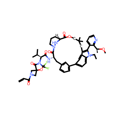 C=CC(=O)N1CC2(C1)OC(F)(F)N([C@H](C(=O)N[C@H]1Cc3cccc(c3)-c3ccc4c(c3)c(c(-c3cccnc3[C@H](C)OC)n4CC)CC(C)(C)COC(=O)[C@@H]3CCCN(N3)C1=O)C(C)C)C2=O